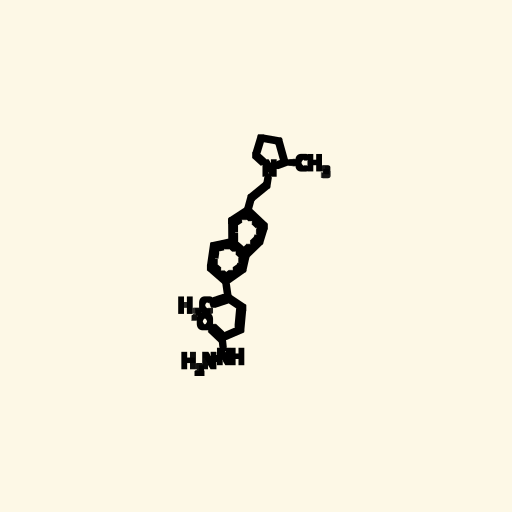 C=C(/C=C\C(=O)NN)c1ccc2cc(CCN3CCC[C@H]3C)ccc2c1